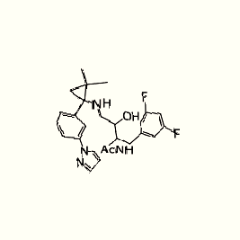 CC(=O)NC(Cc1cc(F)cc(F)c1)C(O)CNC1(c2cccc(-n3cccn3)c2)CC1(C)C